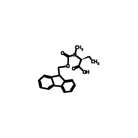 CC[C@H](C(=O)O)N(C)C(=O)OCC1c2ccccc2-c2ccccc21